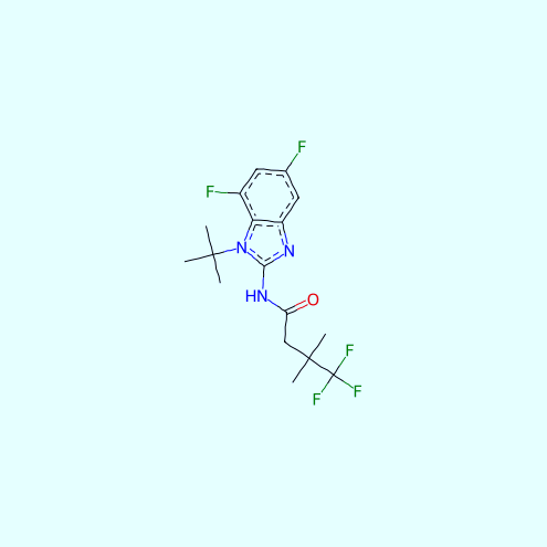 CC(C)(C)n1c(NC(=O)CC(C)(C)C(F)(F)F)nc2cc(F)cc(F)c21